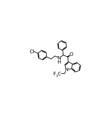 O=C(c1cn(CC(F)(F)F)c2ccccc12)C(NCCc1ccc(Cl)cc1)c1ccccc1